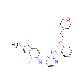 Cc1cc2c(F)c(Nc3ccnc(Nc4ccccc4OCCN4CCOCC4)n3)ccc2[nH]1